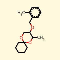 Cc1ccccc1COC1COC2(CCCCC2)OC1C